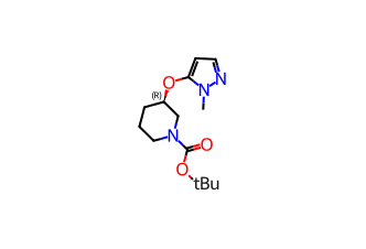 Cn1nccc1O[C@@H]1CCCN(C(=O)OC(C)(C)C)C1